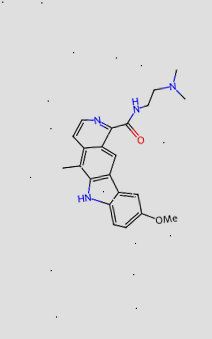 COc1ccc2[nH]c3c(C)c4ccnc(C(=O)NCCN(C)C)c4cc3c2c1